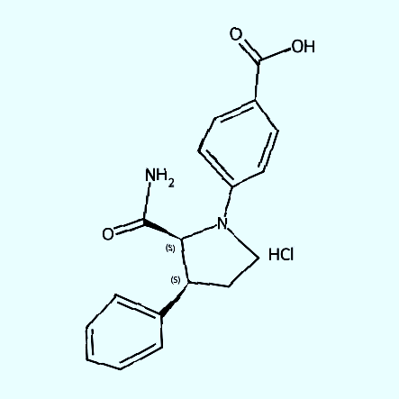 Cl.NC(=O)[C@@H]1[C@H](c2ccccc2)CCN1c1ccc(C(=O)O)cc1